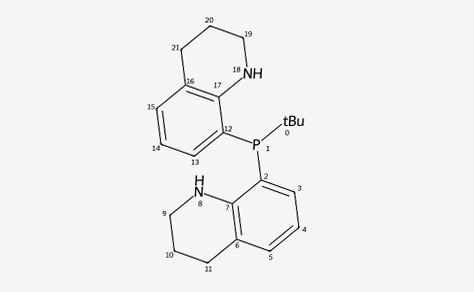 CC(C)(C)P(c1cccc2c1NCCC2)c1cccc2c1NCCC2